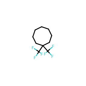 FC(F)(F)C1(C(F)(F)F)CCCCCCC1